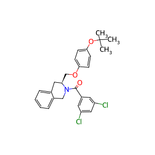 CC(C)(C)Oc1ccc(OC[C@@H]2Cc3ccccc3CN2C(=O)c2cc(Cl)cc(Cl)c2)cc1